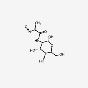 CN(N=O)C(=O)NC1[C@H](O)OC(CO)[C@@H](O)[C@@H]1O